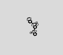 O=S1(=O)CC(c2ccc3c(c2)SCCS3)Oc2cc(C3C[S+]([O-])c4ccccc4O3)ccc21